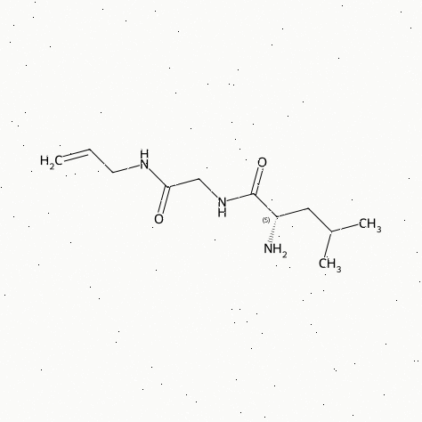 C=CCNC(=O)CNC(=O)[C@@H](N)CC(C)C